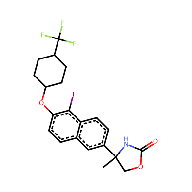 CC1(c2ccc3c(I)c(OC4CCC(C(F)(F)F)CC4)ccc3c2)COC(=O)N1